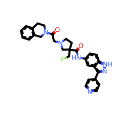 O=C(CN1CCC(CF)(C(=O)Nc2ccc3[nH]nc(-c4ccncc4)c3c2)C1)N1CCc2ccccc2C1